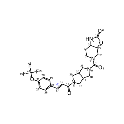 O=C1NC2CCN(C(=O)N3CC4CN(C(=O)/C=C/c5ccc(OC(F)(F)F)cc5)CC4C3)CC2O1